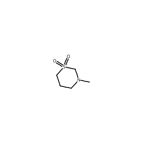 CN1CCCS(=O)(=O)C1